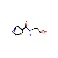 O=C(NCCO)c1ccncc1